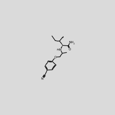 CCC(C)[C@H](NC(C)COc1ccc(C#N)cc1)C(N)=O